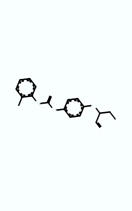 CCC(C=O)Oc1ccc(NC(=O)Nc2ccccc2C)cc1